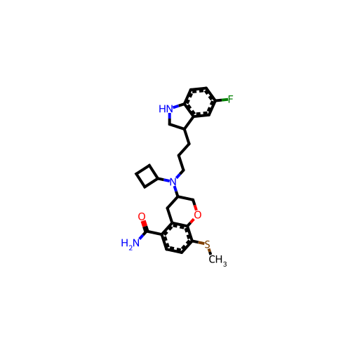 CSc1ccc(C(N)=O)c2c1OCC(N(CCCC1CNc3ccc(F)cc31)C1CCC1)C2